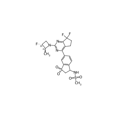 C[C@H]1[C@H](F)CN1c1nc(-c2ccc3c(c2)S(=O)(=O)CC3NS(C)(=O)=O)c2c(n1)C(F)(F)CC2